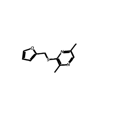 Cc1cnc(C)c(SCc2ccco2)n1